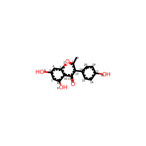 Cc1oc2cc(O)cc(O)c2c(=O)c1-c1ccc(O)cc1